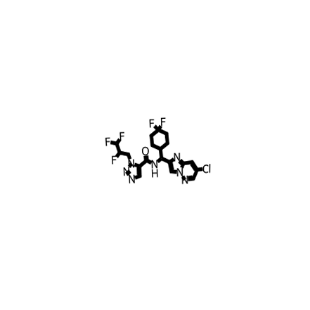 O=C(NC(c1cn2ncc(Cl)cc2n1)C1CCC(F)(F)CC1)c1cnnn1CC(F)C(F)F